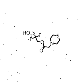 O=C(CN1CCSCC1)OCC(F)(F)S(=O)(=O)O